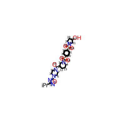 CC(C)c1noc(N2CCN(C(=O)[C@@H]3CCCN(S(=O)(=O)c4ccc(S(=O)(=O)N5CCC(O)C5)cc4)C3)CC2)n1